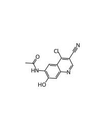 CC(=O)Nc1cc2c(Cl)c(C#N)cnc2cc1O